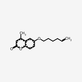 C=CCCCCOc1ccc2oc(=O)cc(C)c2c1